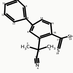 CC(C)(C#N)c1cc(-c2ccccc2)ccc1C(=S)S